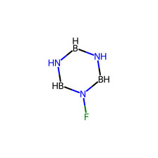 FN1BNBNB1